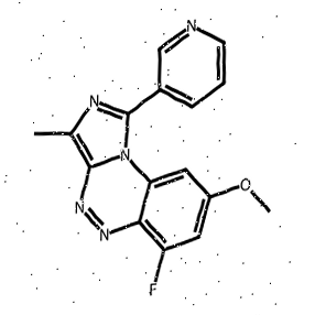 COc1cc(F)c2nnc3c(C)nc(-c4cccnc4)n3c2c1